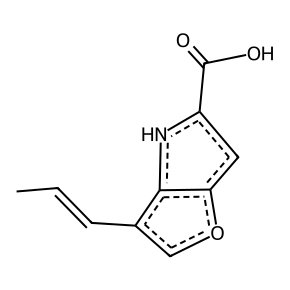 CC=Cc1coc2cc(C(=O)O)[nH]c12